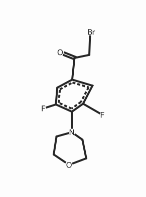 O=C(CBr)c1cc(F)c(N2CCOCC2)c(F)c1